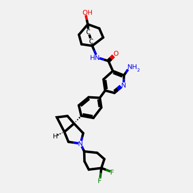 Nc1ncc(-c2ccc([C@@]34CC[C@@H]3CN(C3CCC(F)(F)CC3)C4)cc2)cc1C(=O)NC12CCC(O)(CC1)CC2